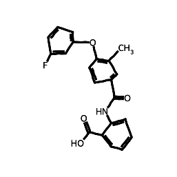 Cc1cc(C(=O)Nc2ccccc2C(=O)O)ccc1Oc1cccc(F)c1